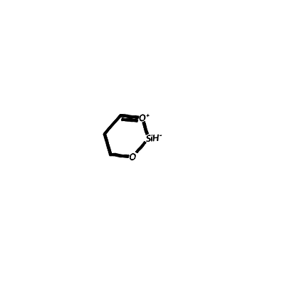 C1=[O+][SiH-]OCC1